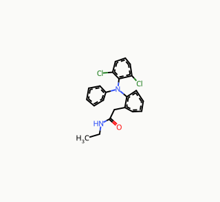 CCNC(=O)Cc1ccccc1N(c1ccccc1)c1c(Cl)cccc1Cl